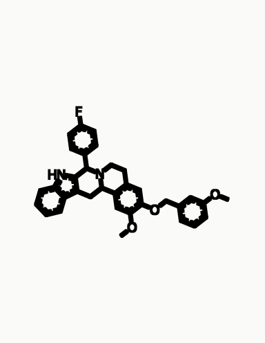 COc1cccc(COc2cc3c(cc2OC)C2Cc4c([nH]c5ccccc45)C(c4ccc(F)cc4)N2CC3)c1